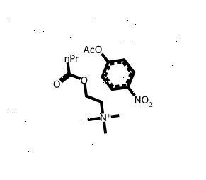 CC(=O)Oc1ccc([N+](=O)[O-])cc1.CCCC(=O)OCC[N+](C)(C)C